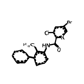 Cc1c(NC(=O)c2ncc(Br)cc2Cl)cccc1-c1ccccc1